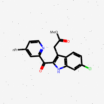 CCCc1ccnc(C(=O)c2[nH]c3cc(Cl)ccc3c2CC(=O)OC)c1